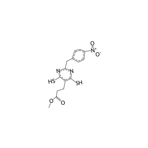 COC(=O)CCc1c(S)nc(Cc2ccc([N+](=O)[O-])cc2)nc1S